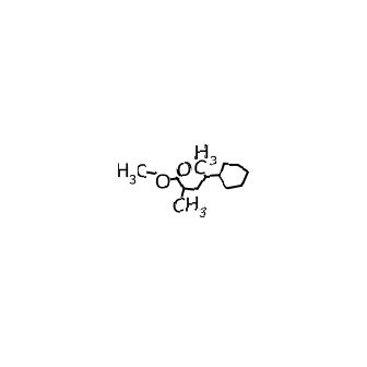 CCOC(=O)C(C)CC(C)C1CCCCC1